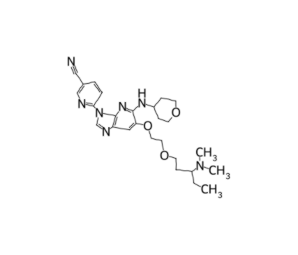 CCC(CCOCCOc1cc2ncn(-c3ccc(C#N)cn3)c2nc1NC1CCOCC1)N(C)C